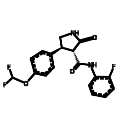 O=C1NC[C@H](c2ccc(OC(F)F)cc2)[C@H]1C(=O)Nc1ccccc1F